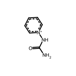 NC(=O)N[n+]1ccccc1